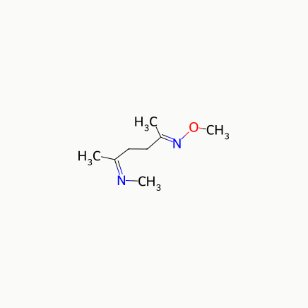 C/N=C(/C)CC/C(C)=N/OC